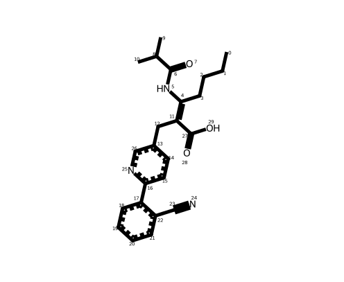 CCCC/C(NC(=O)C(C)C)=C(/Cc1ccc(-c2ccccc2C#N)nc1)C(=O)O